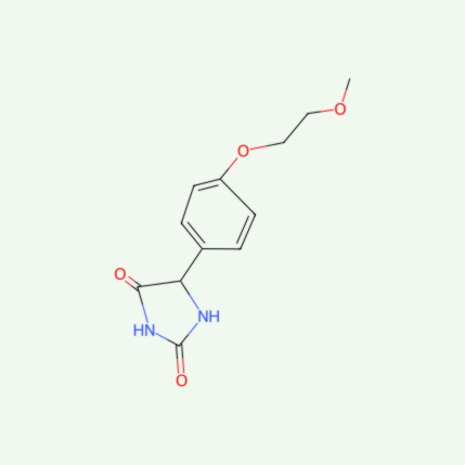 COCCOc1ccc(C2NC(=O)NC2=O)cc1